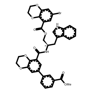 COC(=O)c1cccc(-c2cc3c(c(C(=O)N[C@@H](COC(=O)c4cc(Br)cc5c4OCCO5)Cc4c[nH]c5ccccc45)c2)OCCO3)c1